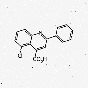 O=C(O)c1cc(-c2ccccc2)nc2cccc(Cl)c12